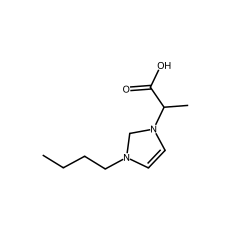 CCCCN1C=CN(C(C)C(=O)O)C1